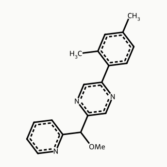 COC(c1ccccn1)c1cnc(-c2ccc(C)cc2C)cn1